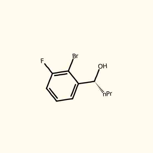 CCC[C@@H](O)c1cccc(F)c1Br